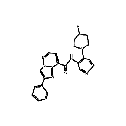 O=C(Nc1cnccc1N1CCC(F)CC1)c1ccnn2cc(-c3ccccc3)nc12